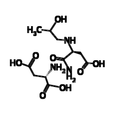 CC(O)CN[C@@H](CC(=O)O)C(N)=O.N[C@@H](CC(=O)O)C(=O)O